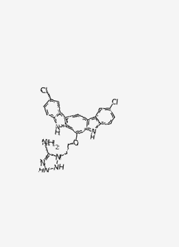 NC1=NNNN1CCOc1c2[nH]c3ccc(Cl)cc3c2cc2c1[nH]c1ccc(Cl)cc12